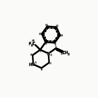 C=CN1CCNCC1(c1ccccc1)C(F)(F)F